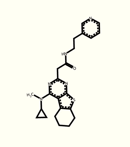 CN(c1nc(CC(=O)NCCc2cccnc2)nc2sc3c(c12)CCCC3)C1CC1